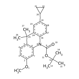 COc1ccc2c(c1)N(C(=O)OC(C)(C)C)c1ccc(C3CC3)cc1C2(C)C